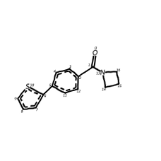 O=C(c1ccc(-c2cccs2)cc1)N1CCC1